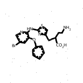 NCCC(Cc1csc(Nc2ncc(Br)cc2Oc2ccccc2)n1)C(=O)O